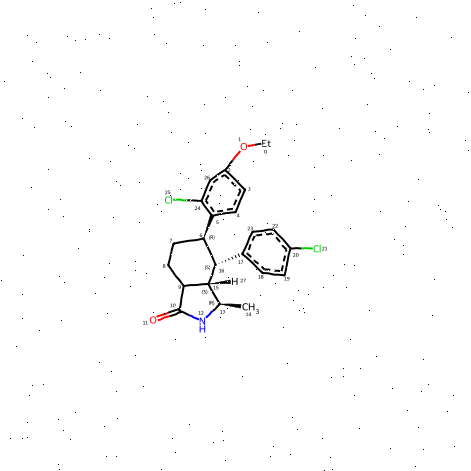 CCOc1ccc([C@@H]2CCC3C(=O)N[C@H](C)[C@H]3[C@H]2c2ccc(Cl)cc2)c(Cl)c1